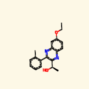 CCOc1ccc2nc([C@@H](C)O)c(-c3ccccc3C)nc2c1